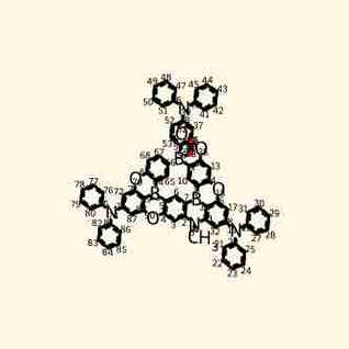 CN1c2cc3c(cc2B2c4cc5c(cc4Oc4cc(N(c6ccccc6)c6ccccc6)cc1c42)Oc1cc(N(c2ccccc2)c2ccccc2)cc2c1B5c1ccccc1O2)B1c2ccccc2Oc2cc(N(c4ccccc4)c4ccccc4)cc(c21)O3